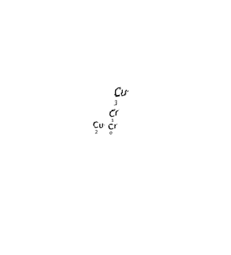 [Cr].[Cr].[Cu].[Cu]